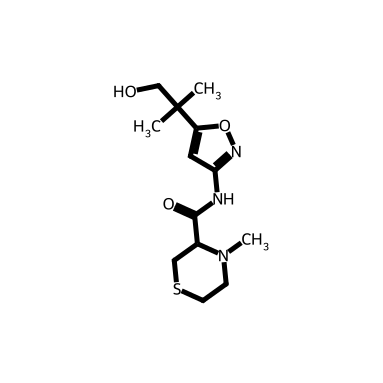 CN1CCSCC1C(=O)Nc1cc(C(C)(C)CO)on1